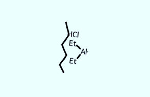 CCCCCC.C[CH2][Al][CH2]C.Cl